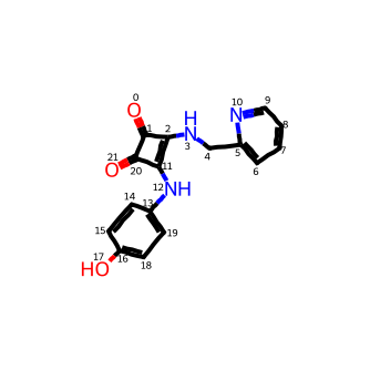 O=c1c(NCc2ccccn2)c(Nc2ccc(O)cc2)c1=O